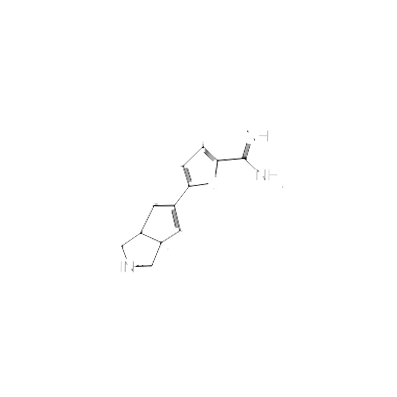 N=C(N)c1ccc(C2=CC3CNCC3C2)s1